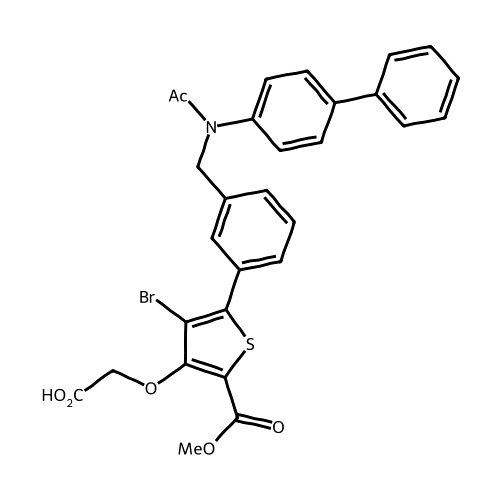 COC(=O)c1sc(-c2cccc(CN(C(C)=O)c3ccc(-c4ccccc4)cc3)c2)c(Br)c1OCC(=O)O